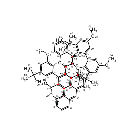 COc1cc(-c2cc(OC)cc(C(C)(C)C)c2Op2oc3c(C(C)(C)C)cc(OC)cc3c3cc(OC)cc(C(C)(C)C)c3o2)c(OP2Oc3cccc4cc5cccc(OP6OC(=O)c7ccccc7O6)c5c(c34)O2)c(C(C)(C)C)c1